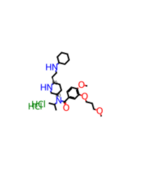 COCCCOc1cc(C(=O)N(C(C)C)[C@@H]2CC[C@H](CCNC3CCCCC3)NC2)ccc1OC.Cl.Cl